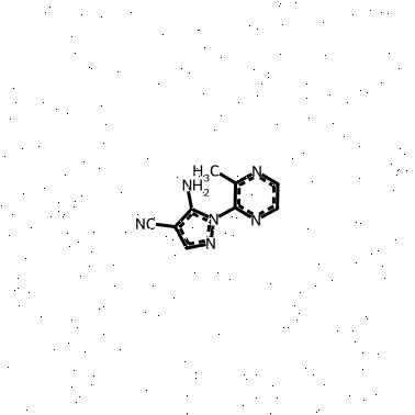 Cc1nccnc1-n1ncc(C#N)c1N